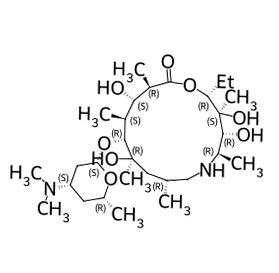 CC[C@H]1OC(=O)[C@H](C)[C@@H](O)[C@H](C)[C@@H](O[C@H]2C[C@@H](N(C)C)C[C@@H](C)O2)[C@](C)(O)C[C@@H](C)CN[C@H](C)[C@@H](O)[C@]1(C)O